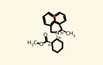 COC(=O)[C@@H]1CCCC[C@H]1N(Cc1ccccc1)[C@H](C)c1ccccc1